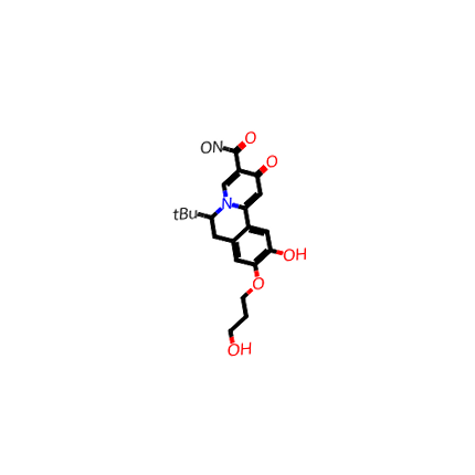 CC(C)(C)C1Cc2cc(OCCCO)c(O)cc2-c2cc(=O)c(C(=O)N=O)cn21